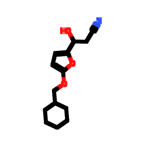 N#CCC(O)c1ccc(OCC2CCCCC2)o1